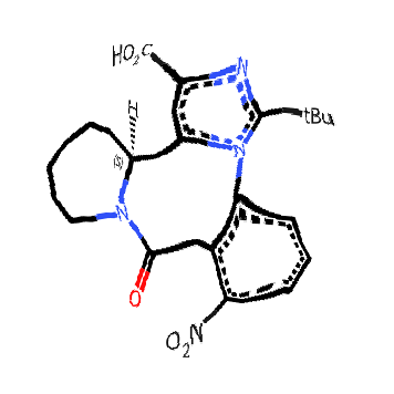 CC(C)(C)c1nc(C(=O)O)c2n1-c1cccc([N+](=O)[O-])c1C(=O)N1CCC[C@@H]21